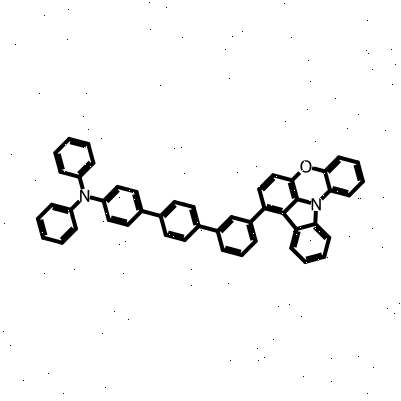 c1ccc(N(c2ccccc2)c2ccc(-c3ccc(-c4cccc(-c5ccc6c7c5c5ccccc5n7-c5ccccc5O6)c4)cc3)cc2)cc1